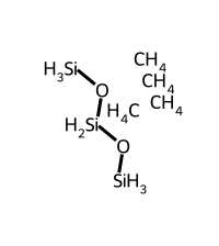 C.C.C.C.[SiH3]O[SiH2]O[SiH3]